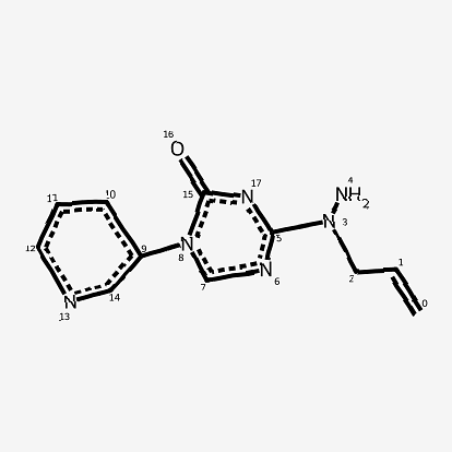 C=CCN(N)c1ncn(-c2cccnc2)c(=O)n1